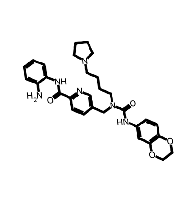 Nc1ccccc1NC(=O)c1ccc(CN(CCCCN2CCCC2)C(=O)Nc2ccc3c(c2)OCCO3)cn1